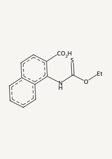 CCOC(=S)Nc1c(C(=O)O)ccc2ccccc12